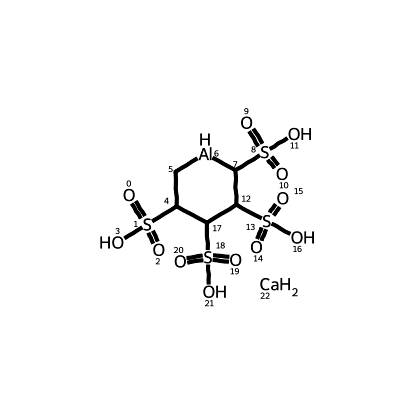 O=S(=O)(O)C1[CH2][AlH][CH](S(=O)(=O)O)C(S(=O)(=O)O)C1S(=O)(=O)O.[CaH2]